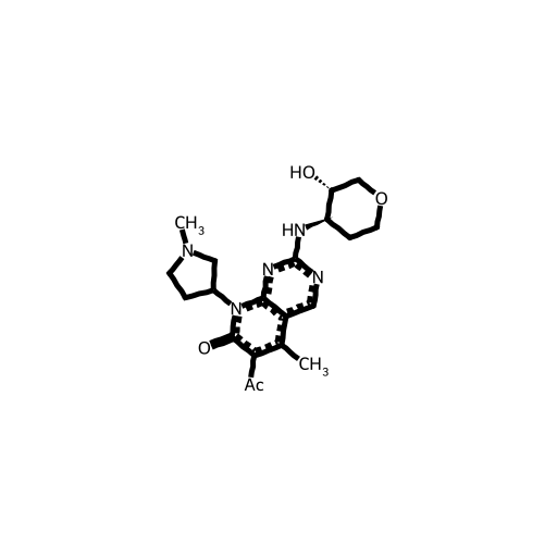 CC(=O)c1c(C)c2cnc(N[C@@H]3CCOC[C@H]3O)nc2n(C2CCN(C)C2)c1=O